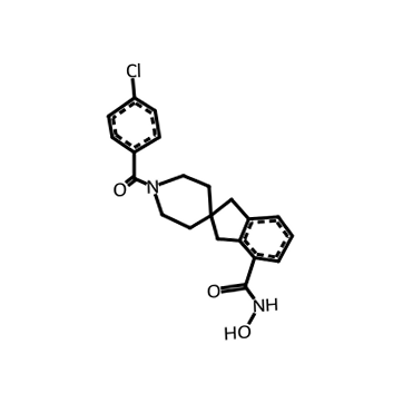 O=C(NO)c1cccc2c1CC1(CCN(C(=O)c3ccc(Cl)cc3)CC1)C2